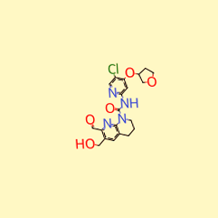 O=Cc1nc2c(cc1CO)CCCN2C(=O)Nc1cc(OC2CCOC2)c(Cl)cn1